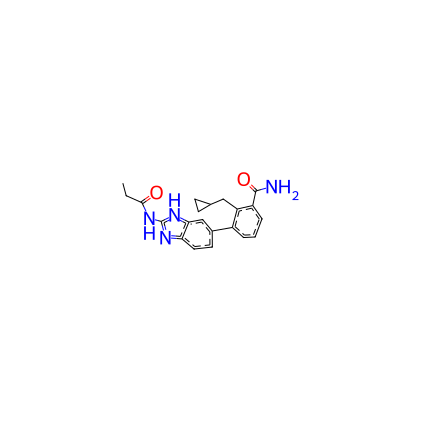 CCC(=O)Nc1nc2ccc(-c3cccc(C(N)=O)c3CC3CC3)cc2[nH]1